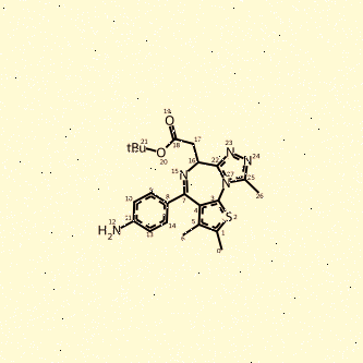 Cc1sc2c(c1C)C(c1ccc(N)cc1)=NC(CC(=O)OC(C)(C)C)c1nnc(C)n1-2